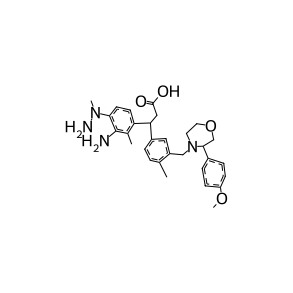 COc1ccc(C2COCCN2Cc2cc(C(CC(=O)O)c3ccc(N(C)N)c(N)c3C)ccc2C)cc1